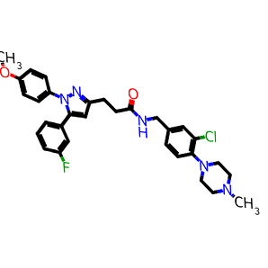 COc1ccc(-n2nc(CCC(=O)NCc3ccc(N4CCN(C)CC4)c(Cl)c3)cc2-c2cccc(F)c2)cc1